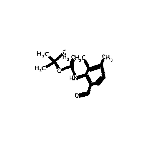 Cc1ccc(C=O)c(NC(=O)OC(C)(C)C)c1C